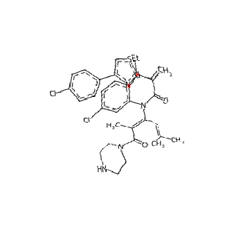 C=C(C(=O)N(/C(C=C(C)C)=C(\C)C(=O)N1CCNCC1)c1cc(Cl)ccc1OCC)c1nc(-c2ccc(Cl)cc2)cs1